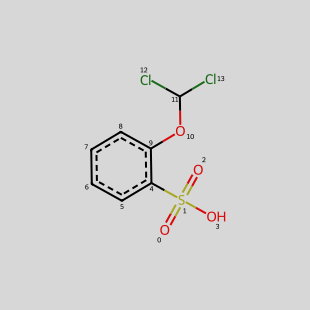 O=S(=O)(O)c1ccccc1OC(Cl)Cl